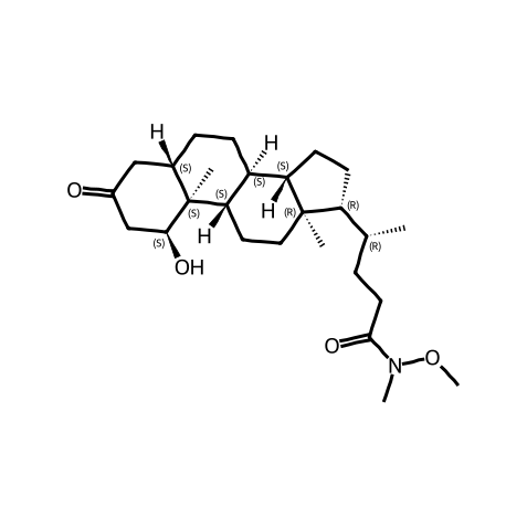 CON(C)C(=O)CC[C@@H](C)[C@H]1CC[C@H]2[C@@H]3CC[C@H]4CC(=O)C[C@H](O)[C@]4(C)[C@H]3CC[C@]12C